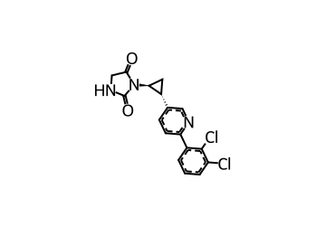 O=C1CNC(=O)N1[C@H]1C[C@@H]1c1ccc(-c2cccc(Cl)c2Cl)nc1